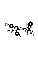 COC(=O)[C@H](Cc1ccccc1)NC(=O)CCOCC1=CCC(c2ccc(Cl)cc2)N(C)C1c1cccc(Cl)c1